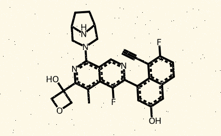 C#Cc1c(F)ccc2cc(O)cc(-c3ncc4c(N5CC6CCC(C5)N6)nc(C5(O)COC5)c(C)c4c3F)c12